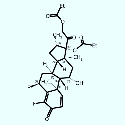 CCC(=O)OCC(=O)[C@]1(OC(=O)CC)[C@@H](C)C[C@H]2[C@@H]3C[C@H](F)C4=C(F)C(=O)C=C[C@]4(C)[C@H]3[C@@H](O)C[C@@]21C